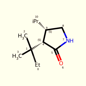 CCC(C)(C)[C@H]1C(=O)NC[C@H]1C(C)C